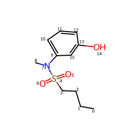 CCCCS(=O)(=O)N(C)c1cccc(O)c1